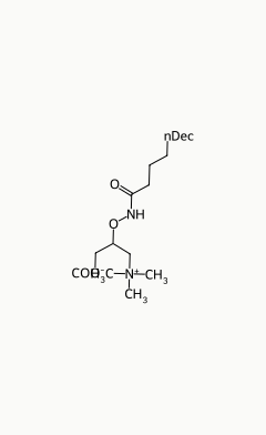 CCCCCCCCCCCCCC(=O)NOC(CC(=O)[O-])C[N+](C)(C)C